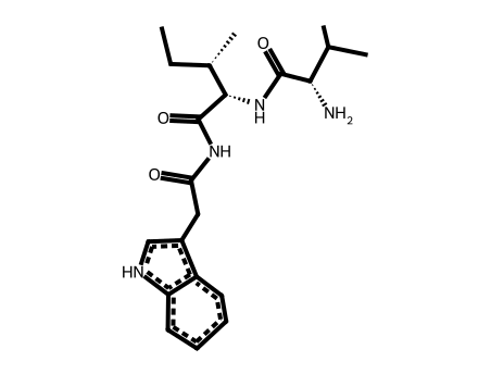 CC[C@H](C)[C@H](NC(=O)[C@@H](N)C(C)C)C(=O)NC(=O)Cc1c[nH]c2ccccc12